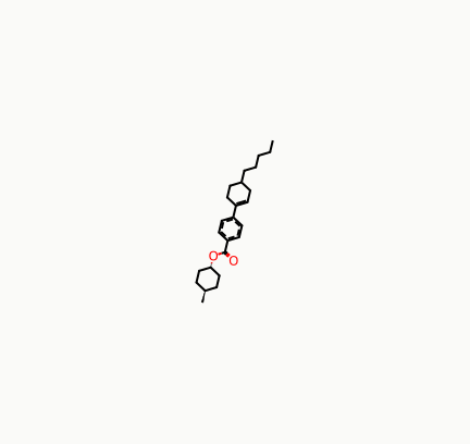 CCCCCC1CC=C(c2ccc(C(=O)O[C@H]3CC[C@H](C)CC3)cc2)CC1